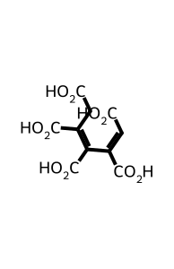 O=C(O)C=C(C(=O)O)C(C(=O)O)=C(CC(=O)O)C(=O)O